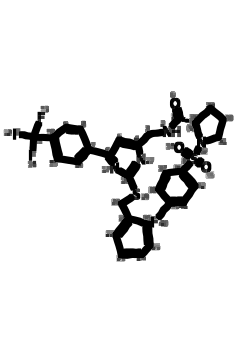 O=C(NCc1cc(-c2ccc(C(F)(F)F)cc2)nc(SCc2ccccc2)n1)[C@@H]1CCCN1S(=O)(=O)c1ccc(F)cc1